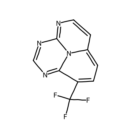 FC(F)(F)C1=CC=C2C=CN=C3N=CN=C1N23